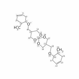 CC1CC=CCC1OCC1COC2(OC1)OCC(COC1CC=CCC1C)CO2